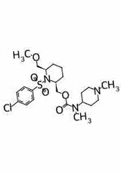 COC[C@H]1CCC[C@@H](COC(=O)N(C)C2CCN(C)CC2)N1S(=O)(=O)c1ccc(Cl)cc1